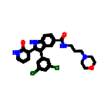 O=C(NCCCN1CCOCC1)c1ccc2[nH]c(-c3ccc[nH]c3=O)c(-c3cc(Cl)cc(Cl)c3)c2c1